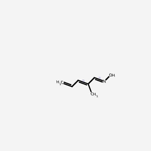 C=C/C=C(C)/C=N/O